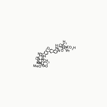 COC(=O)NC(C(=O)N1[C@@H](C)CC[C@H]1c1ncc(-c2ccc3c(c2)COc2cc4c(ccc5nc([C@@H]6CC[C@H](C)N6C(=O)C(NC(=O)O)C(C)C)[nH]c54)cc2-3)[nH]1)C1(C)CCOCC1